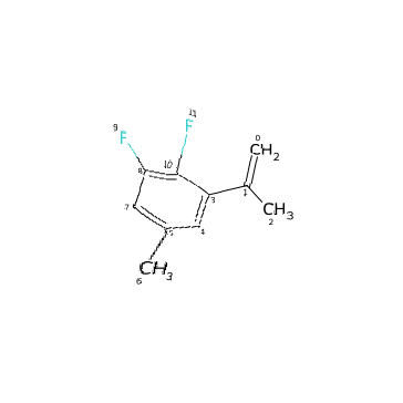 C=C(C)c1cc(C)cc(F)c1F